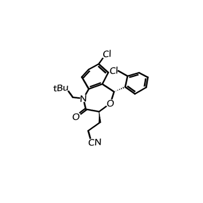 CC(C)(C)CN1C(=O)[C@H](CCC#N)O[C@@H](c2ccccc2Cl)c2cc(Cl)ccc21